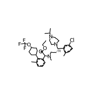 CCOC(=O)C(c1cccc(C)c1C1CCC(OC(F)(F)F)CC1)N(C)CC[C@@H](c1cc(Cl)ccc1C)N1CCN(C(C)C)CC1